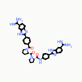 N=C(N)c1ccc2nc(-c3ccc(NC(=O)[C@@H]4CCCN4C(=O)[C@@H]4CCCN4C(=O)c4ccc(-c5nc6ccc(C(=N)N)cc6[nH]5)cc4)cc3)[nH]c2c1